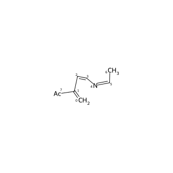 C=C(/C=C\N=C/C)C(C)=O